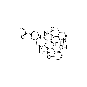 C=CC(=O)N1CCN2c3nc(=O)n(-c4c(C)ccnc4C(C)C)c4c(F)c(-c5c(O)cccc5O)c(Cl)c(c34)NCC2C1